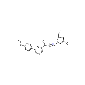 CCOc1ccc(-c2cccc(C(=O)N/N=C/c3cc(OC)cc(OC)c3)n2)cc1